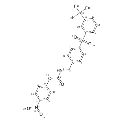 O=C(NCc1ccc(S(=O)(=O)c2cccc(C(F)(F)F)c2)cn1)Oc1ccc([N+](=O)[O-])cc1